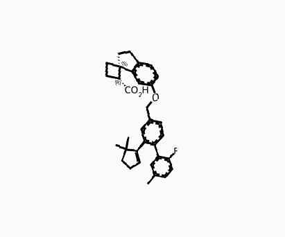 Cc1ccc(F)c(-c2ccc(COc3ccc4c(c3)[C@]3(CC4)CC[C@H]3C(=O)O)cc2C2=CCCC2(C)C)c1